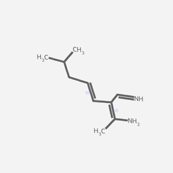 C/C(N)=C(C=N)\C=C\CC(C)C